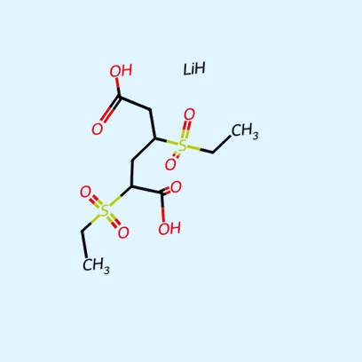 CCS(=O)(=O)C(CC(=O)O)CC(C(=O)O)S(=O)(=O)CC.[LiH]